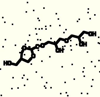 OCC(O)COCC(O)COCC1OCC(CO)CO1